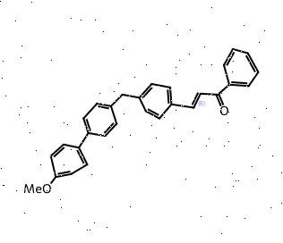 COc1ccc(-c2ccc(Cc3ccc(/C=C/C(=O)c4ccccc4)cc3)cc2)cc1